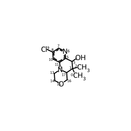 CC1(C)C(O)c2ncc(Cl)cc2N2CCOCC21